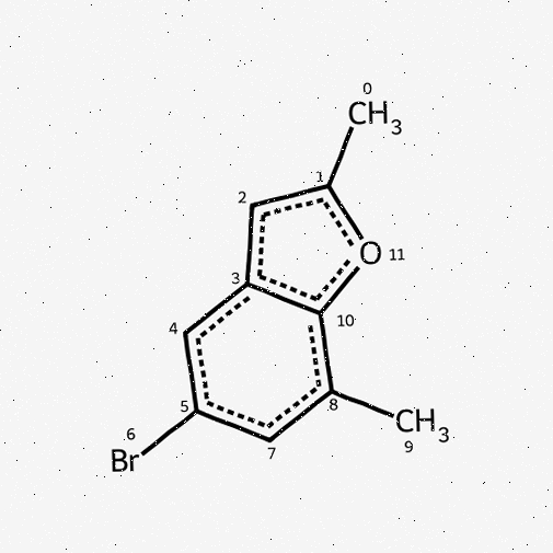 Cc1cc2cc(Br)cc(C)c2o1